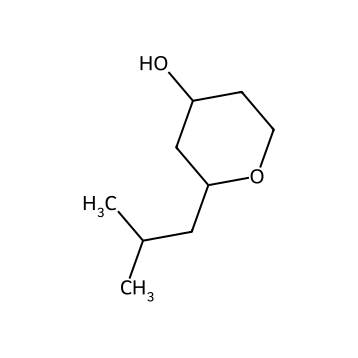 CC(C)CC1CC(O)CCO1